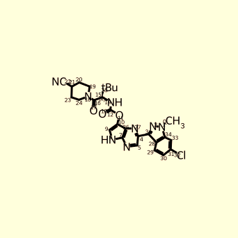 Cn1nc(-c2cnc3[nH]cc(OC(=O)N[C@@H](C(=O)N4CCC(C#N)CC4)C(C)(C)C)c3n2)c2ccc(Cl)cc21